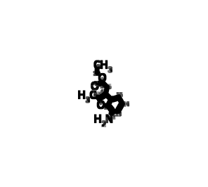 CCOC(=O)Cc1c(C)oc2c(N)cccc12